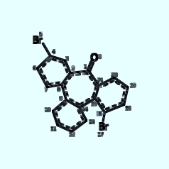 O=c1c2cc(Br)ccc2c2ccccc2c2c(Br)cccc12